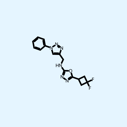 FC1(F)CC(c2nnc(NCc3cn(-c4ccccc4)nn3)o2)C1